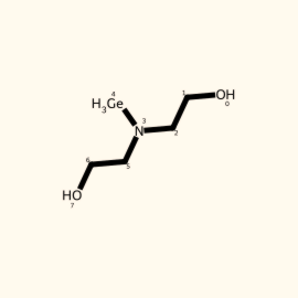 OCC[N]([GeH3])CCO